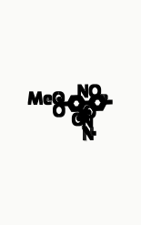 COC(=O)c1cc([N+](=O)[O-])c(-c2ccc(C)cc2)c(S(=O)(=O)N=CN(C)C)c1